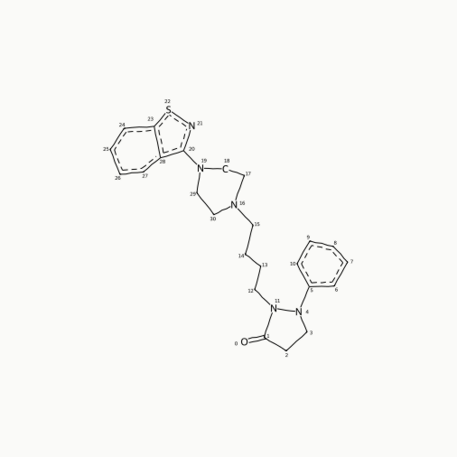 O=C1CCN(c2ccccc2)N1CCCCN1CCN(c2nsc3ccccc23)CC1